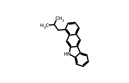 CC(C)Cc1cccc2cc3c(cc12)[nH]c1ccccc13